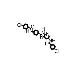 O=C(Nc1ccc(-c2nc3cc(NC(=O)c4ccc(Cl)cc4)cnc3[nH]2)cc1)c1ccc(Cl)cc1